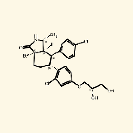 CC[C@@]12CC[C@@H](c3ccc(OC[C@@H](O)CO)cc3Cl)[C@H](c3ccc(Cl)cc3)[C@@H]1[C@@H](C)NC2=O